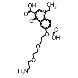 CCn1cc(C(=O)O)c(=O)c2cc(OCCOCCOCCN)ccc21.O=CO